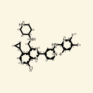 Fc1cc(F)c(Nc2cc(-c3nc(CNC4CCNCC4)c4c(C5CC5)cnc(Cl)c4n3)ccn2)nc1F